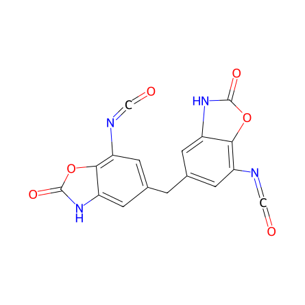 O=C=Nc1cc(Cc2cc(N=C=O)c3oc(=O)[nH]c3c2)cc2[nH]c(=O)oc12